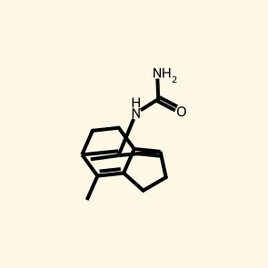 Cc1c2c3c(c(NC(N)=O)c1CC3)CC2